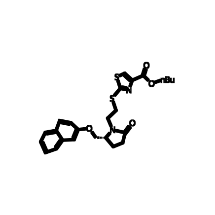 CCCCOC(=O)c1csc(SCCN2C(=O)CC[C@@H]2COc2ccc3ccccc3c2)n1